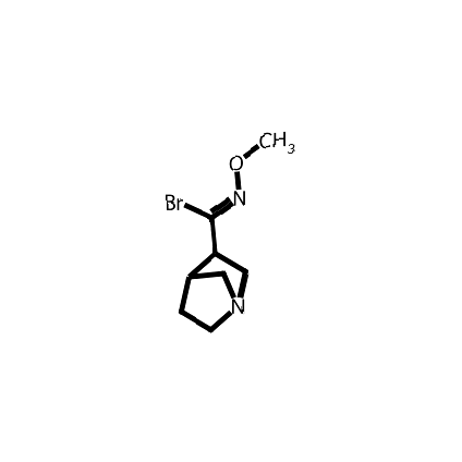 CON=C(Br)C1CN2CCC1C2